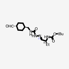 CC[C@@H](/C=N/NC(=O)NC[C@H]1CC[C@H](C=O)CC1)NC(=O)OC(C)(C)C